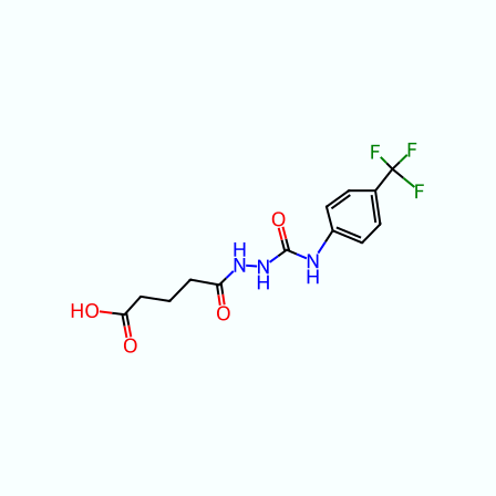 O=C(O)CCCC(=O)NNC(=O)Nc1ccc(C(F)(F)F)cc1